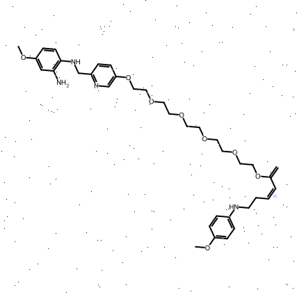 C=C(/C=C\CCNc1ccc(OC)cc1)OCCOCCOCCOCCOCCOc1ccc(CNc2ccc(OC)cc2N)nc1